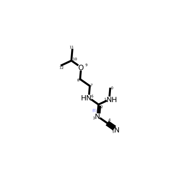 CN/C(=N\C#N)NCCOC(C)C